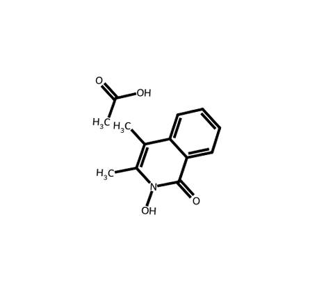 CC(=O)O.Cc1c(C)n(O)c(=O)c2ccccc12